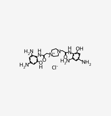 C[N+]1(CC(=O)Nc2c(N)cc(N)cc2O)CCN(CC(=O)Nc2c(N)cc(N)cc2O)CC1.[Cl-]